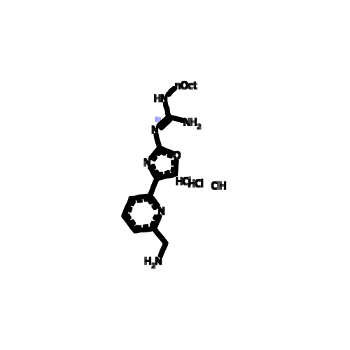 CCCCCCCCN/C(N)=N/c1nc(-c2cccc(CN)n2)co1.Cl.Cl.Cl